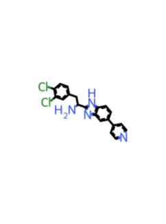 NC(Cc1ccc(Cl)c(Cl)c1)c1nc2cc(-c3ccncc3)ccc2[nH]1